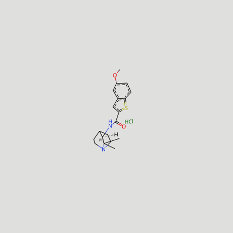 COc1ccc2sc(C(=O)N[C@@H]3C4CCN(CC4)C3(C)C)cc2c1.Cl